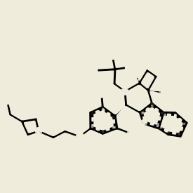 CC(C)(F)CN1[C@H](c2c(F)cc(OCCN3CC(CF)C3)cc2F)c2[nH]c3ccccc3c2[C@H]2CC[C@H]21